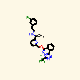 CC(NCCc1cccc(Br)c1)c1cccc(COc2nn3c(C(F)(F)F)nnc3c3ccccc23)n1